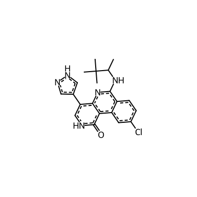 CC(Nc1nc2c(-c3cn[nH]c3)c[nH]c(=O)c2c2cc(Cl)ccc12)C(C)(C)C